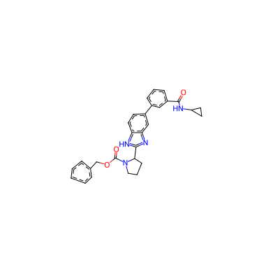 O=C(NC1CC1)c1cccc(-c2ccc3[nH]c(C4CCCN4C(=O)OCc4ccccc4)nc3c2)c1